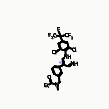 CCC(=O)N(C)Cc1cccc(/C(C=N)=C/Nc2c(Cl)cc(C(F)(C(F)(F)F)C(F)(F)F)cc2Cl)c1